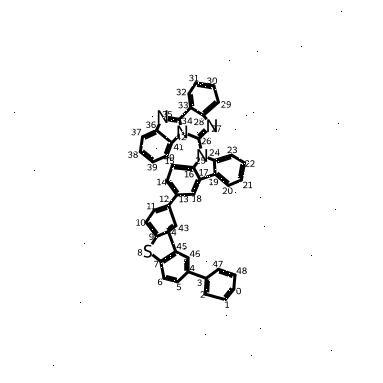 c1ccc(-c2ccc3sc4ccc(-c5ccc6c(c5)c5ccccc5n6-c5nc6ccccc6c6nc7ccccc7n56)cc4c3c2)cc1